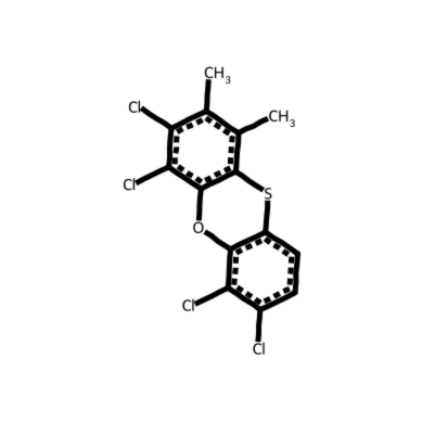 Cc1c(C)c2c(c(Cl)c1Cl)Oc1c(ccc(Cl)c1Cl)S2